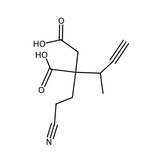 C#CC(C)C(CCC#N)(CC(=O)O)C(=O)O